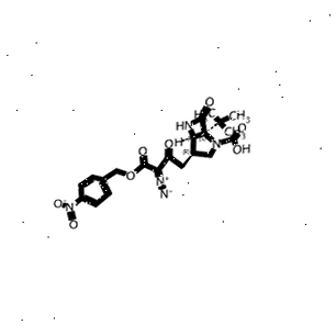 CC(C)(C)[C@@]12C(=O)N[C@@H]1[C@H](CC(=O)C(=[N+]=[N-])C(=O)OCc1ccc([N+](=O)[O-])cc1)CN2C(=O)O